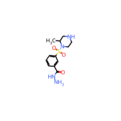 CC1CNCCN1S(=O)(=O)c1cccc(C(=O)NN)c1